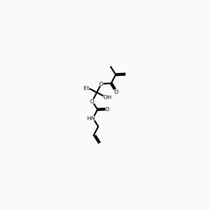 C=CCNC(=O)OC(O)(CC)OC(=O)C(=C)C